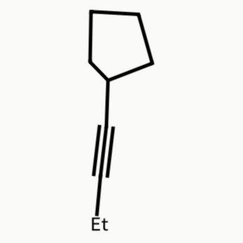 CCC#CC1CCCC1